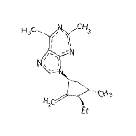 C=C1[C@H](CC)[C@@H](C)C[C@@H]1n1cnc2c(C)nc(C)nc21